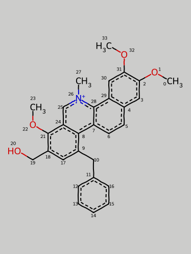 COc1cc2ccc3c4c(Cc5ccccc5)cc(CO)c(OC)c4c[n+](C)c3c2cc1OC